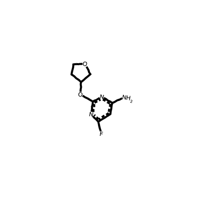 Nc1cc(F)nc(OC2CCOC2)n1